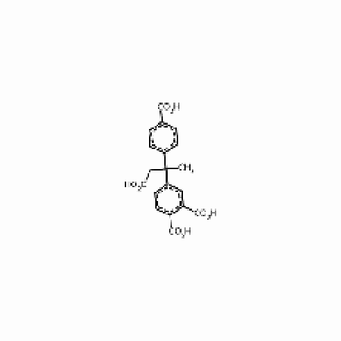 CC(CC(=O)O)(c1ccc(C(=O)O)cc1)c1ccc(C(=O)O)c(C(=O)O)c1